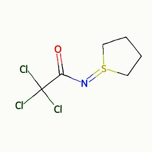 O=C(N=S1CCCC1)C(Cl)(Cl)Cl